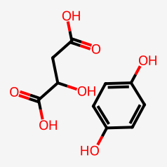 O=C(O)CC(O)C(=O)O.Oc1ccc(O)cc1